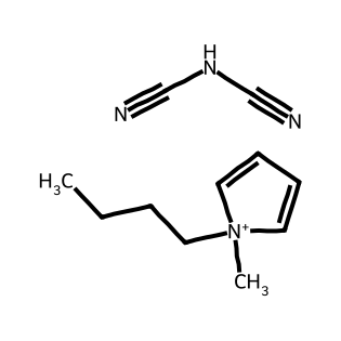 CCCC[N+]1(C)C=CC=C1.N#CNC#N